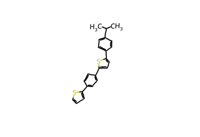 CC(C)c1ccc(-c2ccc(-c3ccc(-c4cccs4)cc3)s2)cc1